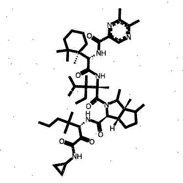 CCCC(C)(C)[C@H](NC(=O)[C@@H]1[C@H]2CCC(C)[C@@]2(C)C(C)N1C(=O)[C@@](C)(NC(=O)[C@@H](NC(=O)c1cnc(C)c(C)n1)[C@]1(C)CCCCC1(C)C)C(C)(CC)C(C)C)C(=O)C(=O)NC1CC1